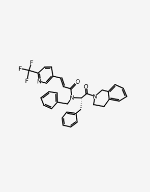 O=C([C@H](Cc1ccccc1)N(Cc1ccccc1)C(=O)C=Cc1ccc(C(F)(F)F)nc1)N1CCc2ccccc2C1